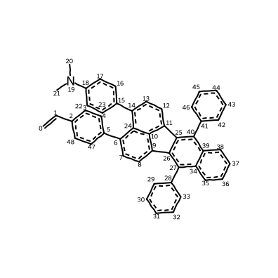 C=Cc1ccc(-c2ccc3c4c(ccc(-c5ccc(N(C)C)cc5)c24)-c2c-3c(-c3ccccc3)c3ccccc3c2-c2ccccc2)cc1